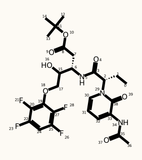 CC[C@@H](C(=O)N[C@@H](CC(=O)OC(C)(C)C)C(O)COc1c(F)c(F)cc(F)c1F)n1cccc(NC(C)=O)c1=O